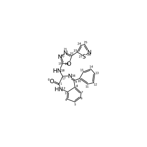 O=C1Nc2ccccc2C(c2ccccc2)=NC1Nc1nnc(-c2ccns2)o1